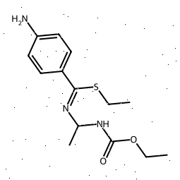 CCOC(=O)NC(C)/N=C(\SCC)c1ccc(N)cc1